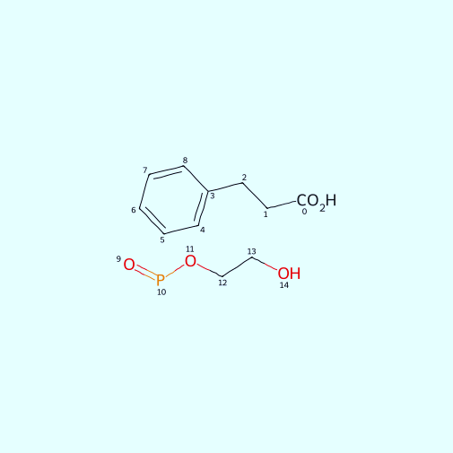 O=C(O)CCc1ccccc1.O=POCCO